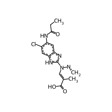 C=NN(/C=C(\C)C(=O)O)c1nc2cc(NC(=O)CC)c(Cl)cc2[nH]1